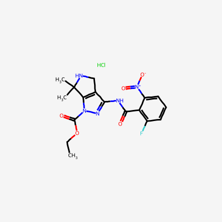 CCOC(=O)n1nc(NC(=O)c2c(F)cccc2[N+](=O)[O-])c2c1C(C)(C)NC2.Cl